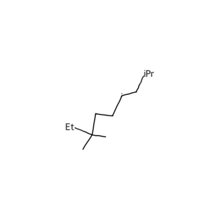 CCC(C)(C)CC[CH]CC(C)C